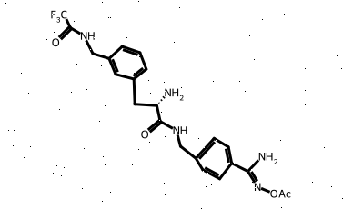 CC(=O)O/N=C(\N)c1ccc(CNC(=O)[C@@H](N)Cc2cccc(CNC(=O)C(F)(F)F)c2)cc1